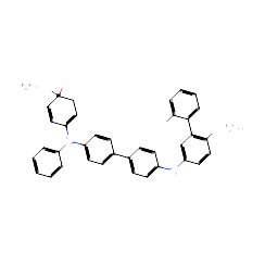 COc1ccc(Nc2ccc(-c3ccc(N(C4=CCC(Br)(OC)C=C4)c4ccccc4)cc3)cc2)cc1-c1ccccc1C